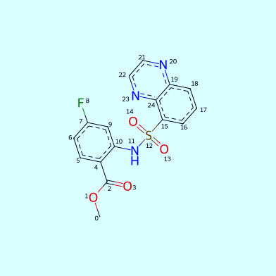 COC(=O)c1ccc(F)cc1NS(=O)(=O)c1cccc2nccnc12